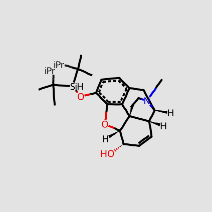 CC(C)C(C)(C)[SiH](Oc1ccc2c3c1O[C@H]1[C@@H](O)C=C[C@H]4[C@@H](C2)N(C)CC[C@@]341)C(C)(C)C(C)C